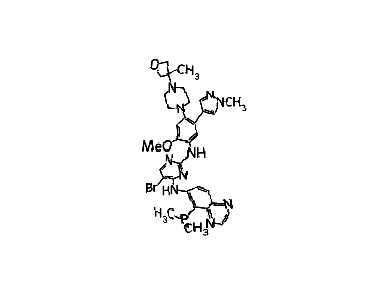 COc1cc(N2CCN(C3(C)COC3)CC2)c(-c2cnn(C)c2)cc1Nc1ncc(Br)c(Nc2ccc3nccnc3c2P(C)C)n1